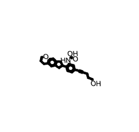 O=C(O)Nc1cc(C#CCCCO)ccc1C1Cc2cc3c(cc2C1)OCCC3